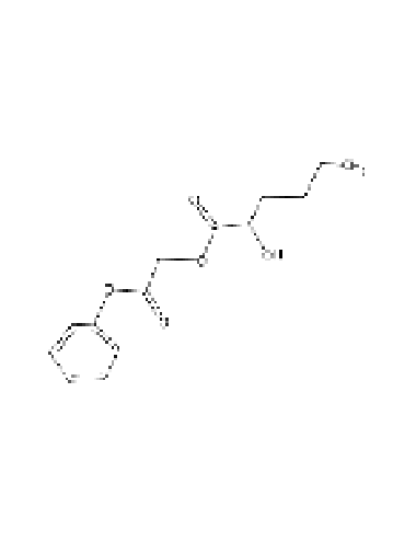 CCCCC(O)C(=O)OCC(=O)Oc1ccccc1